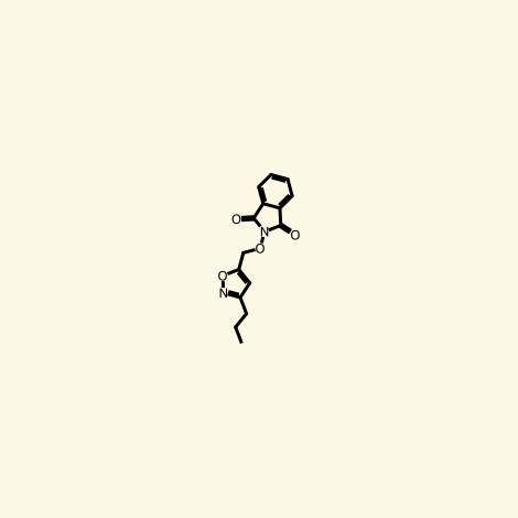 CCCc1cc(CON2C(=O)c3ccccc3C2=O)on1